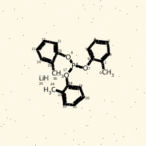 Cc1ccccc1OP(Oc1ccccc1C)Oc1ccccc1C.[LiH]